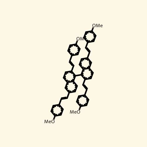 COc1ccc(/C=C/c2ccc3c(-c4c(/C=C/c5ccc(OC)cc5)ccc5cc(/C=C/c6ccc(OC)cc6)ccc45)c(/C=C/c4ccc(OC)cc4)ccc3c2)cc1